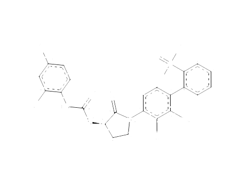 CCP(=O)(CC)c1ccccc1-c1ccc(N2CC[C@@H](NC(=O)Nc3ccc(C(F)(F)F)cc3F)C2=O)c(F)c1F